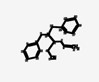 C=CCC(CC#N)N(Cc1ccccc1)Cc1ccccc1